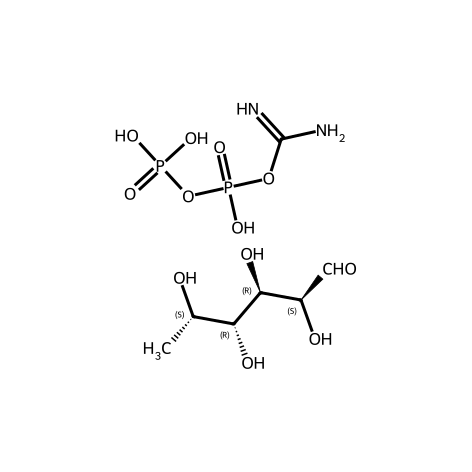 C[C@H](O)[C@@H](O)[C@@H](O)[C@H](O)C=O.N=C(N)OP(=O)(O)OP(=O)(O)O